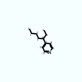 CCCCC(CC)c1ccncc1